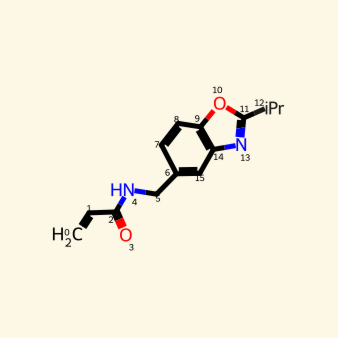 C=CC(=O)NCc1ccc2oc(C(C)C)nc2c1